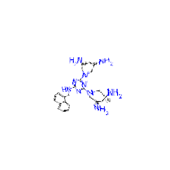 N[C@@H]1C[C@H](N)CN(c2nc(NCc3cccc4ccccc34)nc(N3C[C@H](N)C[C@H](N)C3)n2)C1